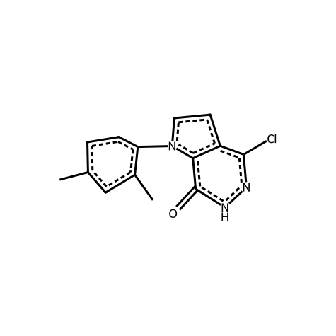 Cc1ccc(-n2ccc3c(Cl)n[nH]c(=O)c32)c(C)c1